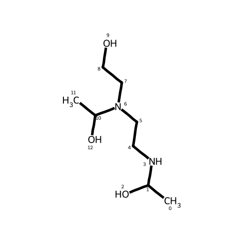 CC(O)NCCN(CCO)C(C)O